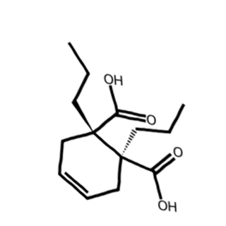 CCC[C@]1(C(=O)O)CC=CC[C@]1(CCC)C(=O)O